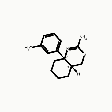 Cc1cccc([C@]23CCCC[C@H]2CSC(N)=N3)c1